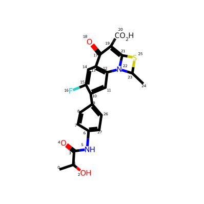 CC(O)C(=O)Nc1ccc(-c2cc3c(cc2F)c(=O)c(C(=O)O)c2n3C(C)S2)cc1